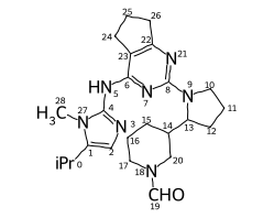 CC(C)c1cnc(Nc2nc(N3CCCC3C3CCCN(C=O)C3)nc3c2CCC3)n1C